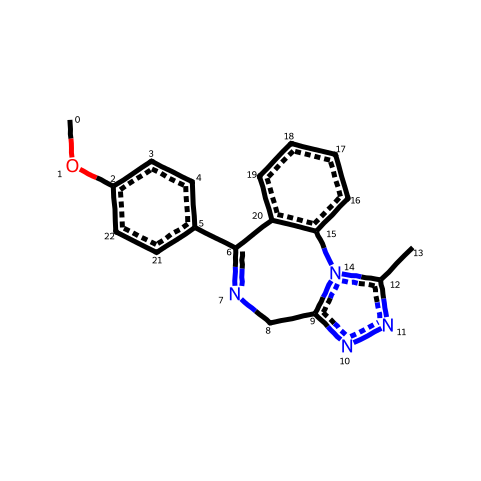 COc1ccc(C2=NCc3nnc(C)n3-c3ccccc32)cc1